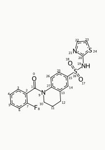 O=C(c1ccccc1F)N1CCCc2cc(S(=O)(=O)Nc3nccs3)ccc21